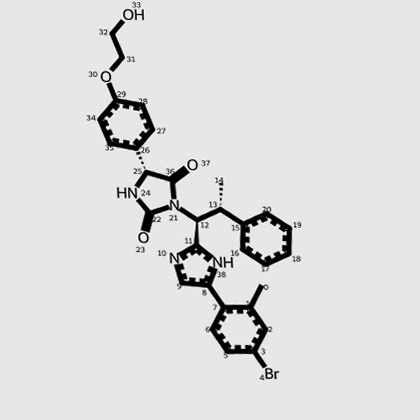 Cc1cc(Br)ccc1-c1cnc([C@H]([C@H](C)c2ccccc2)N2C(=O)N[C@H](c3ccc(OCCO)cc3)C2=O)[nH]1